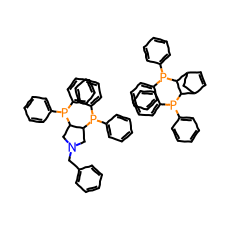 C1=CC2CC1C(P(c1ccccc1)c1ccccc1)C2P(c1ccccc1)c1ccccc1.c1ccc(CN2CC(P(c3ccccc3)c3ccccc3)C(P(c3ccccc3)c3ccccc3)C2)cc1